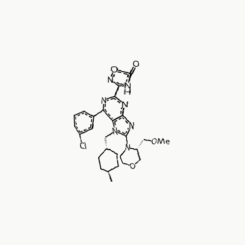 COC[C@@H]1COCCN1c1nc2nc(-c3noc(=O)[nH]3)nc(-c3cccc(Cl)c3)c2n1C[C@H]1CC[C@H](C)CC1